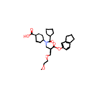 COCCOCC(CN(C(=O)C1CCCC1)C1CCC(C(=O)O)CC1)C(=O)Oc1ccc2c(c1)CCC2